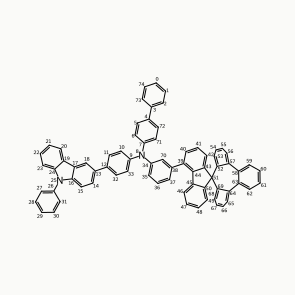 c1ccc(-c2ccc(N(c3ccc(-c4ccc5c(c4)c4ccccc4n5-c4ccccc4)cc3)c3cccc(-c4cccc5c4-c4ccccc4C54c5ccccc5-c5ccccc5-c5ccccc54)c3)cc2)cc1